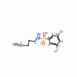 CCCCCCCCCCCCNS(=O)(=O)c1cc(I)cc(I)c1